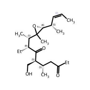 C/C=C\[C@H](C)[C@H]1OC1(C)[C@@H](C)[C@@H](CC)C(=O)[C@H](CO)[C@@H](C)CC(=O)CC